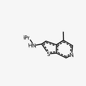 Cc1cncc2sc(NC(C)C)cc12